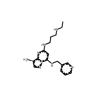 Bc1cnn2c(NCc3cccnc3)cc(NCCCNCC)nc12